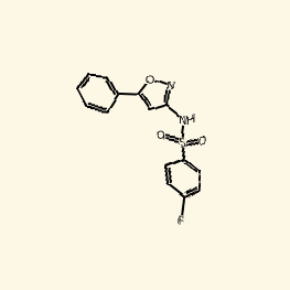 O=S(=O)(Nc1cc(-c2ccccc2)on1)c1ccc(F)cc1